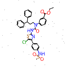 CCOC(=O)c1cccc(N(CCC(c2ccccc2)c2ccccc2)C(=O)Nc2nc(-c3ccc(NS(C)(=O)=O)cc3)c(Cl)s2)c1